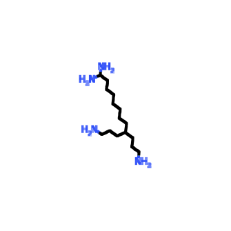 NCCCC(CCCN)CCCCCCCC(N)N